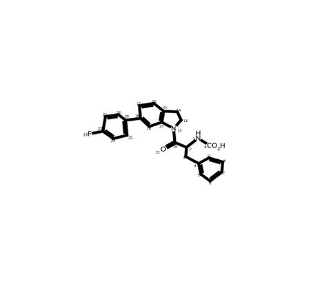 O=C(O)NC(Cc1ccccc1)C(=O)N1CCc2ccc(-c3ccc(F)cc3)cc21